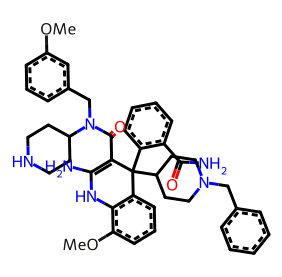 COc1cccc(CN(C(=O)C2=C(N)Nc3c(OC)cccc3C2(c2ccccc2C(N)=O)C2CCN(Cc3ccccc3)CC2)C2CCNCC2)c1